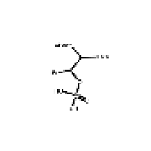 CCCCCCC(CCCCC)C(OP(=O)(O)O)C(C)C